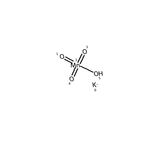 [K].[O]=[Mn](=[O])(=[O])[OH]